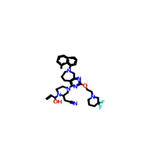 C=CC(O)N1CCN(c2nc(OCCN3CCCC(F)(F)C3)nc3c2CCCN(c2cccc4cccc(C)c24)C3)CC1CC#N